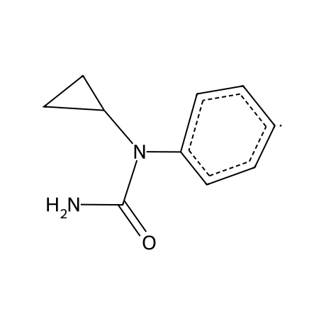 NC(=O)N(c1cc[c]cc1)C1CC1